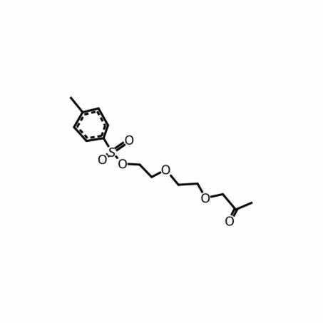 CC(=O)COCCOCCOS(=O)(=O)c1ccc(C)cc1